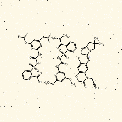 C#CCN1C(=O)COc2cc(F)c(/N=c3\snc4n3CC(C)(C)C4)cc21.COc1cc(OC)nc(NC(=O)NS(=O)(=O)c2ncccc2C(=O)N(C)C)n1.O=C(Nc1nc(OC(F)F)cc(OC(F)F)n1)NS(=O)(=O)c1ccccc1C(=O)O